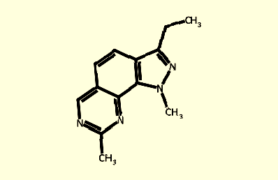 CCc1nn(C)c2c1ccc1cnc(C)nc12